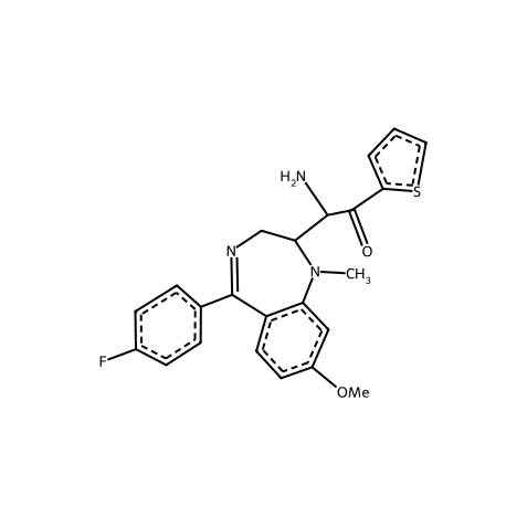 COc1ccc2c(c1)N(C)C(C(N)C(=O)c1cccs1)CN=C2c1ccc(F)cc1